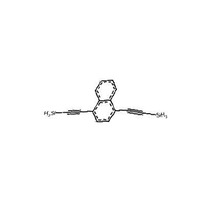 [SiH3]C#Cc1[c]cc(C#C[SiH3])c2cc[c]cc12